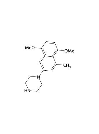 COc1ccc(OC)c2c(C)cc(N3CCNCC3)nc12